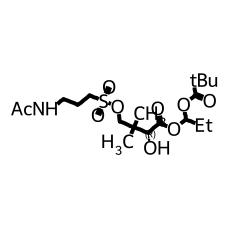 CCC(OC(=O)[C@H](O)C(C)(C)COS(=O)(=O)CCCNC(C)=O)OC(=O)C(C)(C)C